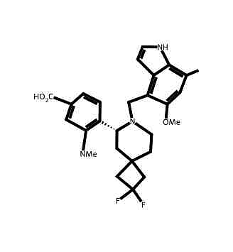 CNc1cc(C(=O)O)ccc1[C@H]1CC2(CCN1Cc1c(OC)cc(C)c3[nH]ccc13)CC(F)(F)C2